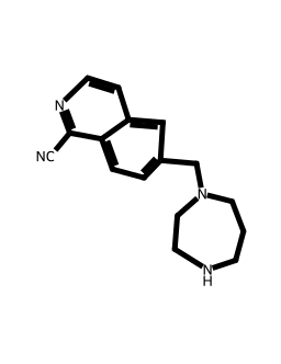 N#Cc1nccc2cc(CN3CCCNCC3)ccc12